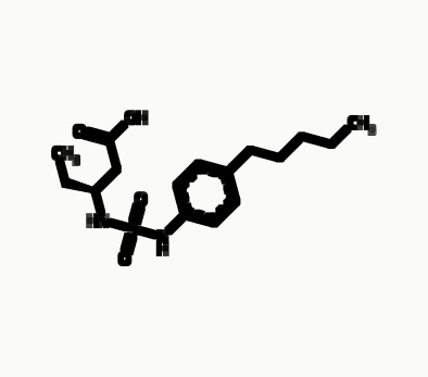 CCCCCc1ccc(NS(=O)(=O)N[C@@H](CC)CC(=O)O)cc1